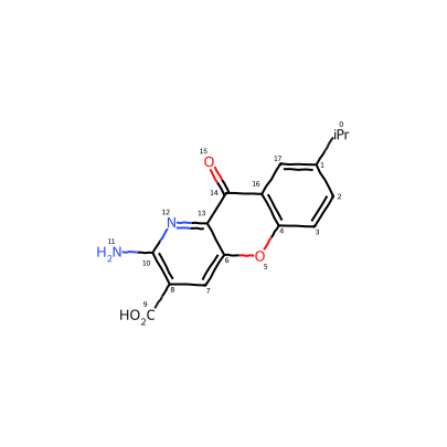 CC(C)c1ccc2oc3cc(C(=O)O)c(N)nc3c(=O)c2c1